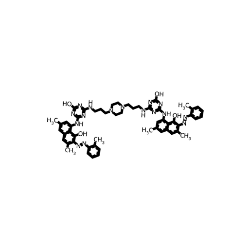 Cc1cc(Nc2nc(O)nc(NCCCN3CCN(CCCNc4nc(O)nc(Nc5cc(C)cc6cc(C)c(N=Nc7ccccc7C)c(O)c56)n4)CC3)n2)c2c(O)c(N=Nc3ccccc3C)c(C)cc2c1